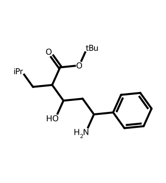 CC(C)CC(C(=O)OC(C)(C)C)C(O)CC(N)c1ccccc1